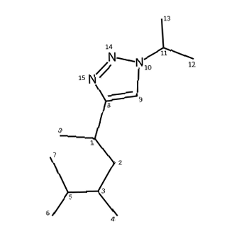 CC(CC(C)C(C)C)c1cn(C(C)C)nn1